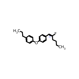 CCCC/C(F)=C\c1ccc(Oc2ccc(CCC)cc2)cc1